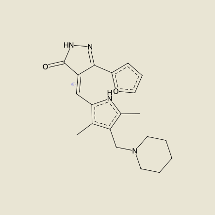 Cc1[nH]c(/C=C2/C(=O)NN=C2c2ccco2)c(C)c1CN1CCCCC1